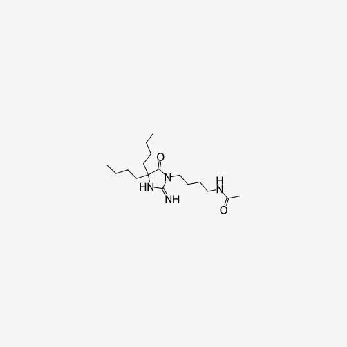 CCCCC1(CCCC)NC(=N)N(CCCCNC(C)=O)C1=O